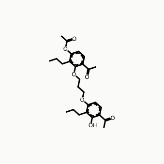 CCCc1c(OCCCOc2c(C(C)=O)ccc(OC(C)=O)c2CCC)ccc(C(C)=O)c1O